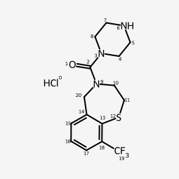 Cl.O=C(N1CCNCC1)N1CCSc2c(cccc2C(F)(F)F)C1